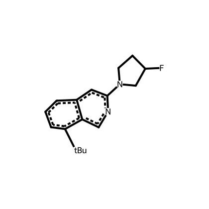 CC(C)(C)c1cccc2cc(N3CCC(F)C3)ncc12